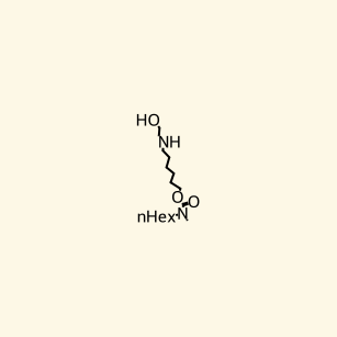 CCCCCCN(C)C(=O)OCCCCCCNCCO